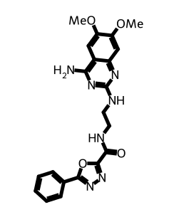 COc1cc2nc(NCCNC(=O)c3nnc(-c4ccccc4)o3)nc(N)c2cc1OC